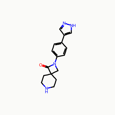 O=C1N(c2ccc(-c3cn[nH]c3)cc2)CC12CCNCC2